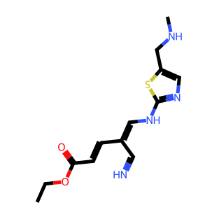 CCOC(=O)/C=C/C(C=N)=C/Nc1ncc(CNC)s1